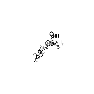 CO[C@@H]1[C@H](OC(=O)N[C@@H](COC(=O)[C@H](C)NC(=O)[C@H](Cc2c[nH]c3ccccc23)NC(=O)[C@@H](N)CCSC)C(C)C)CC[C@]2(CO2)[C@H]1[C@@]1(C)O[C@@H]1CC=C(C)C